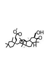 COC(=O)/C=C/[C@]1(CCC(C)(C)[C@]2(C)CC[C@H]3C(C)(C)C(=O)/C(=C\O)C[C@]3(C)/C2=C/C(C)=O)CCC(C)(C)CC1C